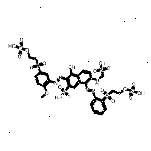 COc1ccc(S(=O)(=O)CCOS(=O)(=O)O)cc1/N=N/c1c(S(=O)(=O)O)cc2c(/N=N/c3ccccc3S(=O)(=O)CCOS(=O)(=O)O)c(NCS(=O)(=O)O)ccc2c1O